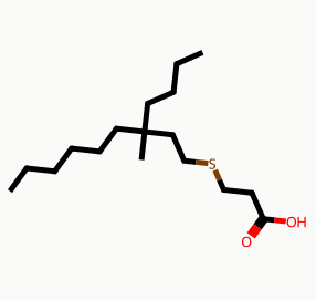 CCCCCCC(C)(CCCC)CCSCCC(=O)O